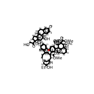 CC[C@]1(O)C[C@H]2C[N@](CCc3c([nH]c4ccccc34)[C@@](C(=O)OC)(c3cc4c(cc3OC)N(C=O)[C@H]3[C@@](O)(C(=O)OC)[C@H](OC(C)=O)[C@]5(CC)C=CCN6CC[C@]43[C@@H]65)C2)C1.C[C@]12C=CC(=O)C=C1CC[C@@H]1[C@@H]2[C@@H](O)C[C@@]2(C)[C@H]1CC[C@]2(O)C(=O)CO